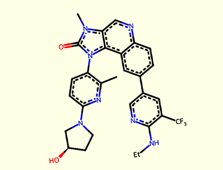 CCNc1ncc(-c2ccc3ncc4c(c3c2)n(-c2ccc(N3CC[C@@H](O)C3)nc2C)c(=O)n4C)cc1C(F)(F)F